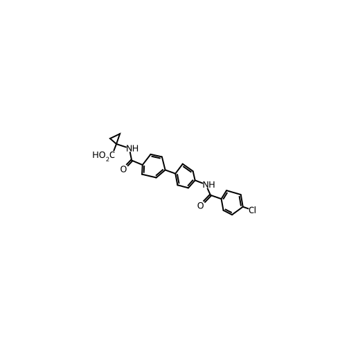 O=C(Nc1ccc(-c2ccc(C(=O)NC3(C(=O)O)CC3)cc2)cc1)c1ccc(Cl)cc1